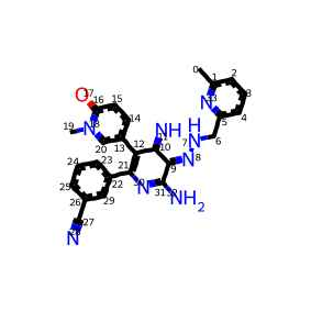 Cc1cccc(CN/N=C2\C(=N)C(c3ccc(=O)n(C)c3)=C(c3cccc(C#N)c3)N=C2N)n1